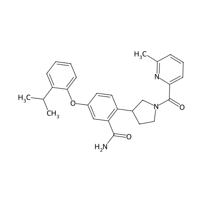 Cc1cccc(C(=O)N2CCC(c3ccc(Oc4ccccc4C(C)C)cc3C(N)=O)C2)n1